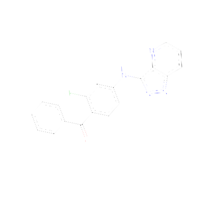 O=C(c1ccccc1)c1ccc(Nc2n[nH]c3cccnc23)cc1Cl